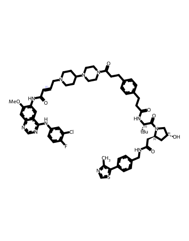 COc1cc2ncnc(Nc3ccc(F)c(Cl)c3)c2cc1NC(=O)/C=C/CN1CCC(N2CCN(C(=O)CCc3ccc(CCC(=O)N[C@H](C(=O)N4C[C@H](O)C[C@H]4CC(=O)NCc4ccc(-c5scnc5C)cc4)C(C)(C)C)cc3)CC2)CC1